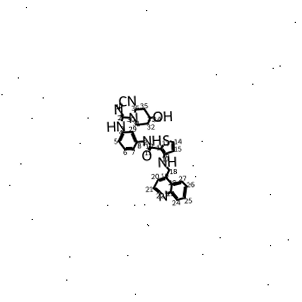 N#C/N=C(/Nc1cccc(NC(=O)c2sccc2NCc2ccnc3ccccc23)c1)N1CCC(O)CC1